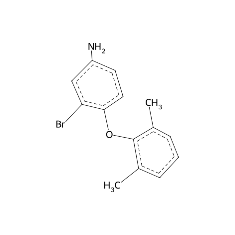 Cc1cccc(C)c1Oc1ccc(N)cc1Br